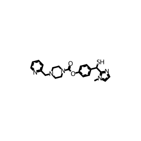 Cn1ccnc1C(S)c1ccc(OC(=O)N2CCN(Cc3ccccn3)CC2)cc1